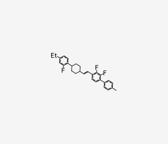 CCc1ccc(C2CCC(/C=C/c3ccc(-c4ccc(C)cc4)c(F)c3F)CC2)c(F)c1